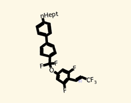 CCCCCCCc1ccc(-c2ccc(C(F)(F)Oc3cc(F)c(/C=C/C(F)(F)F)c(F)c3)cc2)cc1